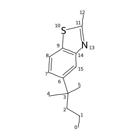 CCCC(C)(C)c1ccc2sc(C)nc2c1